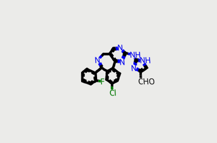 O=Cc1c[nH]c(Nc2ncc3c(n2)-c2ccc(Cl)cc2C(c2ccccc2F)=NC3)n1